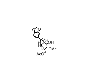 CC(=O)OC[C@H]1O[C@@H]2N=C(c3ccc4c(c3)OCO4)O[C@@H]2[C@@H](O)[C@@H]1OC(C)=O